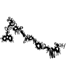 O=C(NCc1cc(Oc2cccc(C(=O)NCCNC(=O)c3ccc(/N=N/c4ccc(OCCCn5cc(-c6cccc(C(=O)O)c6)nn5)cc4)cc3)c2)nc(C(F)(F)F)c1)OCC1c2ccccc2-c2ccccc21